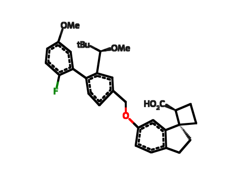 COc1ccc(F)c(-c2ccc(COc3ccc4c(c3)[C@]3(CC4)CC[C@@H]3C(=O)O)cc2[C@H](OC)C(C)(C)C)c1